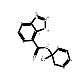 CCC1(OC(=O)c2cccc3nnsc23)C=CC=CC1